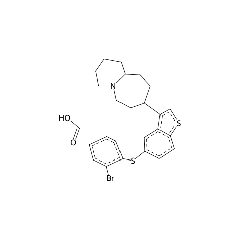 Brc1ccccc1Sc1ccc2scc(C3CCC4CCCCN4CC3)c2c1.O=CO